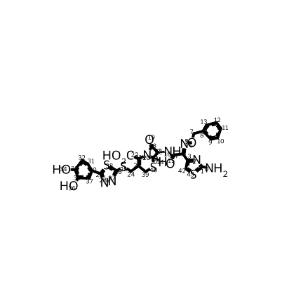 Nc1nc(C(=NOCc2ccccc2)C(=O)N[C@@H]2C(=O)N3C(C(=O)O)=C(CSc4nnc(-c5ccc(O)c(O)c5)s4)CS[C@@H]23)cs1